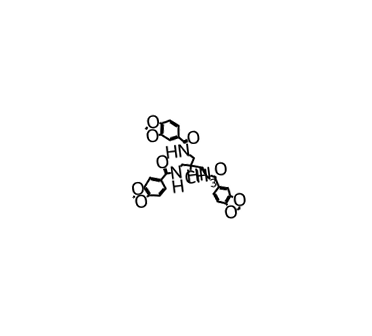 CC(CNC(=O)c1ccc2c(c1)OCO2)(CNC(=O)c1ccc2c(c1)OCO2)CNC(=O)c1ccc2c(c1)OCO2